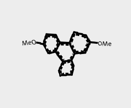 COc1ccc2c3ccc(OC)cc3c3ccccc3c2c1